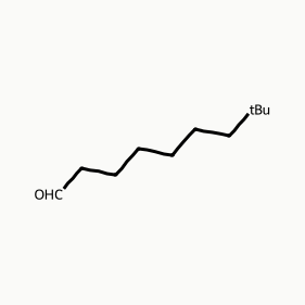 CC(C)(C)CCCCCCC=O